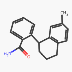 Cc1ccc2c(c1)C(c1ccccc1C(N)=O)CCC2